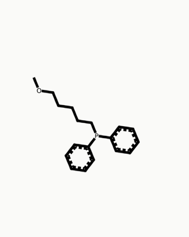 COCCCCCP(c1ccccc1)c1ccccc1